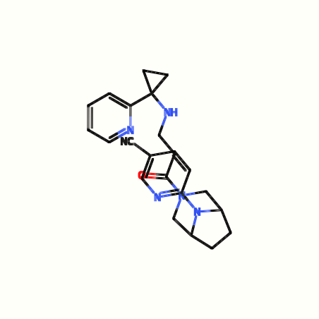 N#Cc1ccc(N2C3CCC2CN(C(=O)CCNC2(c4ccccn4)CC2)C3)nc1